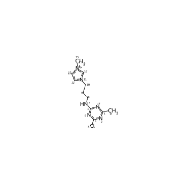 Cc1nc(Cl)nc(NCCCn2cc[n+](C)c2)n1